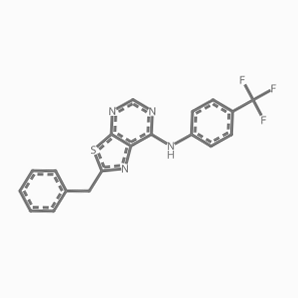 FC(F)(F)c1ccc(Nc2ncnc3sc(Cc4ccccc4)nc23)cc1